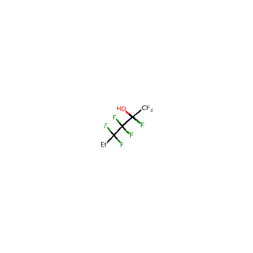 CCC(F)(F)C(F)(F)C(O)(F)C(F)(F)F